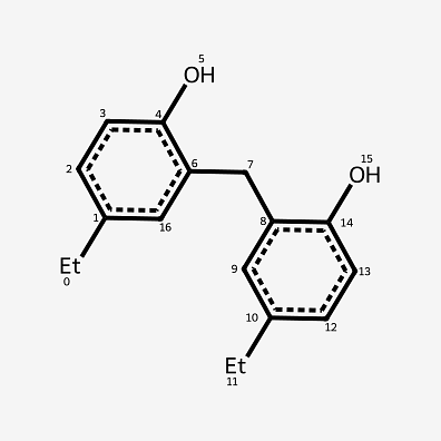 CCc1ccc(O)c(Cc2cc(CC)ccc2O)c1